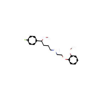 CCOC(CCCNCCOc1ccccc1OC(C)C)c1ccc(F)cc1